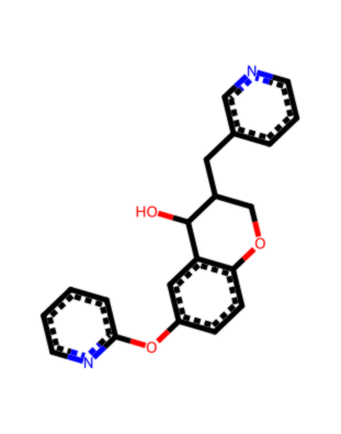 OC1c2cc(Oc3ccccn3)ccc2OCC1Cc1cccnc1